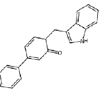 O=C1C=C(c2ccccc2)C=CC1Cc1c[nH]c2ccccc12